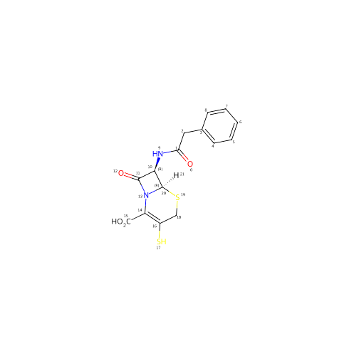 O=C(Cc1ccccc1)N[C@@H]1C(=O)N2C(C(=O)O)=C(S)CS[C@H]12